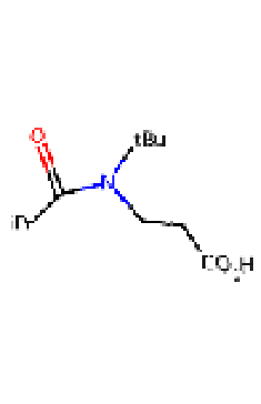 CC(C)C(=O)N(CCC(=O)O)C(C)(C)C